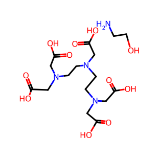 NCCO.O=C(O)CN(CCN(CC(=O)O)CC(=O)O)CCN(CC(=O)O)CC(=O)O